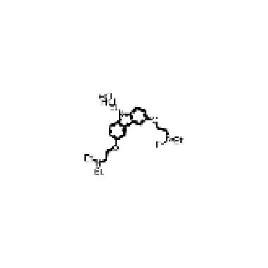 CCN(CC)CCOc1ccc2c(c1)c1cc(OCCN(CC)CC)ccc1n2CC.Cl.Cl